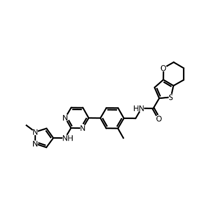 Cc1cc(-c2ccnc(Nc3cnn(C)c3)n2)ccc1CNC(=O)c1cc2c(s1)CCCO2